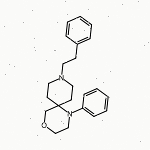 c1ccc(CCN2CCC3(CC2)COCCN3c2ccccc2)cc1